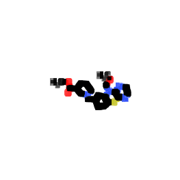 COCN1c2cc(CN3CC[CH][C](C(=O)OC)C3)ccc2Sc2nccnc21